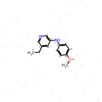 CCc1cncc(Nc2ccc(OC)cc2)c1